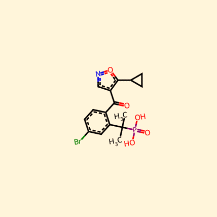 CC(C)(c1cc(Br)ccc1C(=O)c1cnoc1C1CC1)P(=O)(O)O